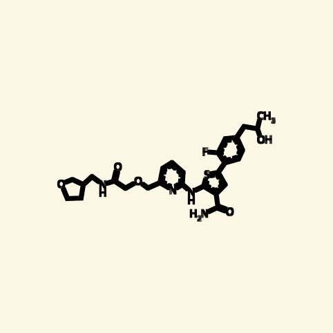 CC(O)Cc1ccc(-c2cc(C(N)=O)c(Nc3cccc(COCC(=O)NCC4CCOC4)n3)s2)c(F)c1